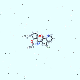 CCCC(=O)NC(c1cccc(C(F)(F)F)c1)c1cc(Cl)c2cccnc2c1O